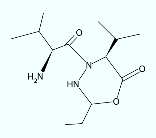 CCC1NN(C(=O)[C@@H](N)C(C)C)[C@@H](C(C)C)C(=O)O1